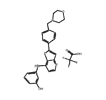 O=C(O)C(F)(F)F.Oc1cccc(Nc2ccnc3cc(-c4ccc(CN5CCOCC5)cc4)sc23)c1